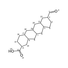 O=CC1CCC2CC3CC4CC(C(=O)O)CCC4CC3CC2C1